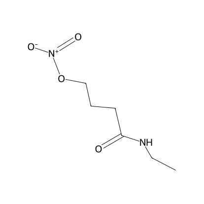 CCNC(=O)CCCO[N+](=O)[O-]